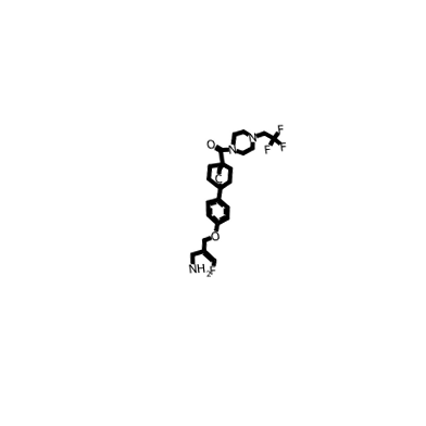 NCC(=CF)COc1ccc(C23CCC(C(=O)N4CCN(CC(F)(F)F)CC4)(CC2)CC3)cc1